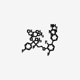 CC[Si](CC)(CC)OC(C)(c1ccc(F)cc1)C(F)(F)CCOc1c(F)ccc(-c2ccc3nc(N)nn3c2)c1F